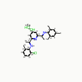 CC(=Nc1c(C)cc(C)cc1C)c1cccc(C(C)=Nc2c(C)cccc2Cl)n1.Cl.Cl.[Fe]